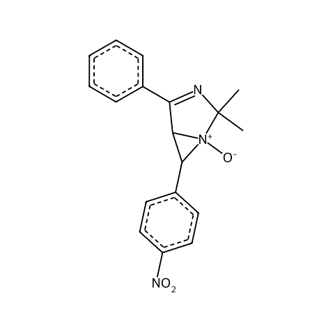 CC1(C)N=C(c2ccccc2)C2C(c3ccc([N+](=O)[O-])cc3)[N+]21[O-]